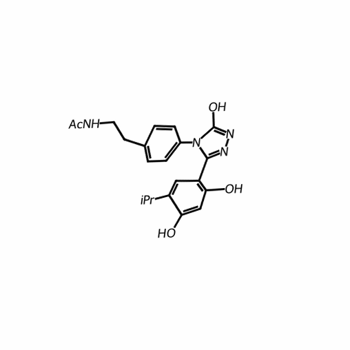 CC(=O)NCCc1ccc(-n2c(O)nnc2-c2cc(C(C)C)c(O)cc2O)cc1